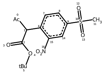 CC(=O)C(C(=O)OC(C)(C)C)c1ccc(S(C)(=O)=O)cc1[N+](=O)[O-]